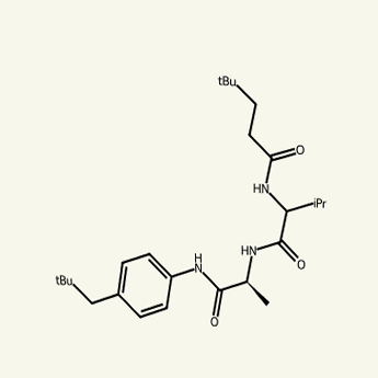 CC(C)C(NC(=O)CCC(C)(C)C)C(=O)N[C@@H](C)C(=O)Nc1ccc(CC(C)(C)C)cc1